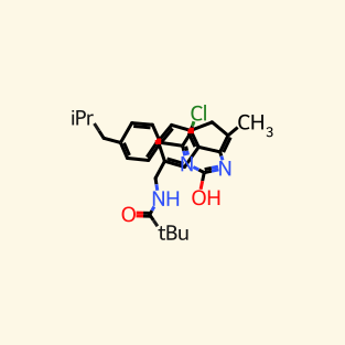 C\C1=C(c2cc(CNC(=O)C(C)(C)C)ccc2Cl)/N=C(O)\N=C(\c2ccc(CC(C)C)cc2)CC1